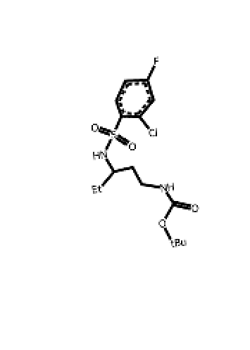 CCC(CCNC(=O)OC(C)(C)C)NS(=O)(=O)c1ccc(F)cc1Cl